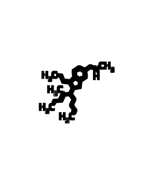 C=CCCC(/C(C)=C/CC)C1Cc2cc(CNC)ccc2/C1=C\CC